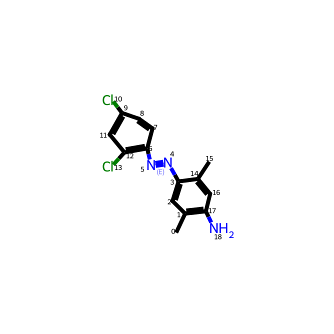 Cc1cc(/N=N/c2ccc(Cl)cc2Cl)c(C)cc1N